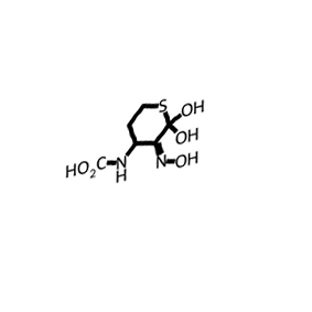 O=C(O)NC1CCSC(O)(O)C1=NO